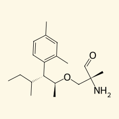 CCC(C)[C@H](c1ccc(C)cc1C)[C@H](C)OC[C@@](C)(N)C=O